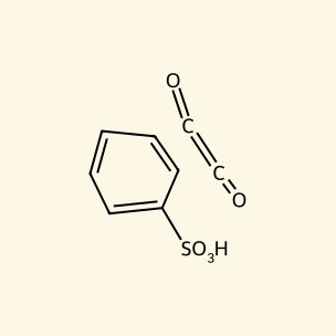 O=C=C=O.O=S(=O)(O)c1ccccc1